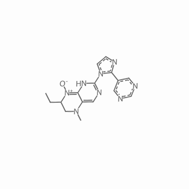 CCC1CN(C)C2=CN=C(n3ccnc3-c3cncnc3)NC2=[N+]1[O-]